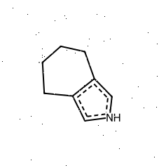 [CH]1CCc2c[nH]cc2C1